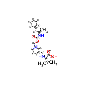 CC(C)[C@H](NCc1ccc[n+](COC(=O)N[C@@H](C)Cc2ccccc2)c1)C(=O)O